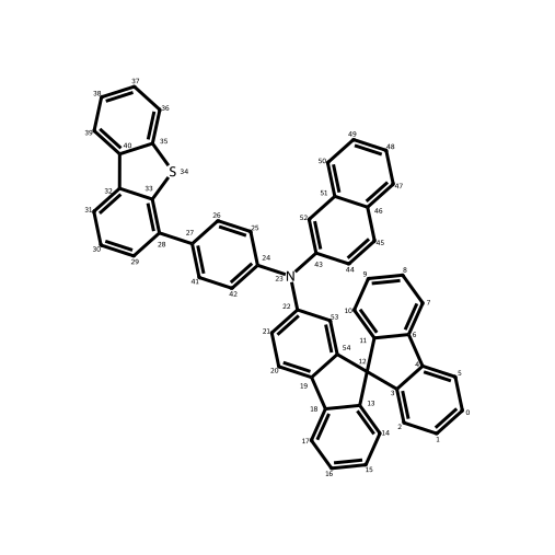 c1ccc2c(c1)-c1ccccc1C21c2ccccc2-c2ccc(N(c3ccc(-c4cccc5c4sc4ccccc45)cc3)c3ccc4ccccc4c3)cc21